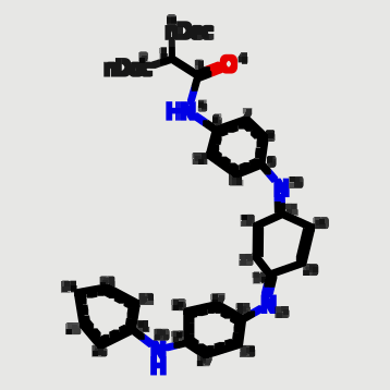 CCCCCCCCCCC(CCCCCCCCCC)C(=O)Nc1ccc(N=C2C=CC(=Nc3ccc(Nc4ccccc4)cc3)C=C2)cc1